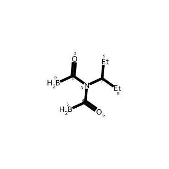 BC(=O)N(C(B)=O)C(CC)CC